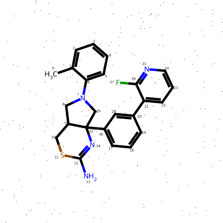 Cc1ccccc1N1CC2CSC(N)=NC2(c2cccc(-c3cccnc3F)c2)C1